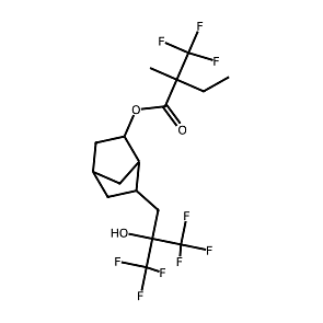 CCC(C)(C(=O)OC1CC2CC(CC(O)(C(F)(F)F)C(F)(F)F)C1C2)C(F)(F)F